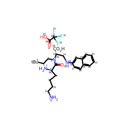 CC(C)(C)CCN(C(=O)[C@H](N)CCCCN)[C@@H](CNc1ccc2ccccc2c1)C(=O)O.O=C(O)C(F)(F)F